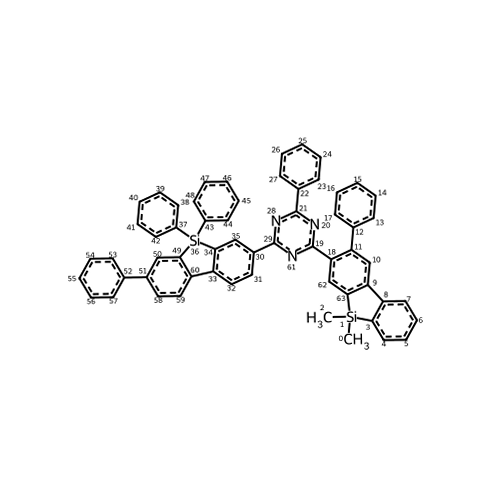 C[Si]1(C)c2ccccc2-c2cc(-c3ccccc3)c(-c3nc(-c4ccccc4)nc(-c4ccc5c(c4)[Si](c4ccccc4)(c4ccccc4)c4cc(-c6ccccc6)ccc4-5)n3)cc21